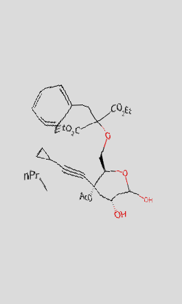 CCCC.CCOC(=O)C(Cc1ccccc1)(OC[C@H]1OC(O)[C@H](O)[C@]1(C#CC1CC1)OC(C)=O)C(=O)OCC